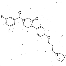 O=C(c1cc(F)cc(F)c1)N1CCN(c2ccc(OCCCN3CCCC3)cc2)C(=O)C1